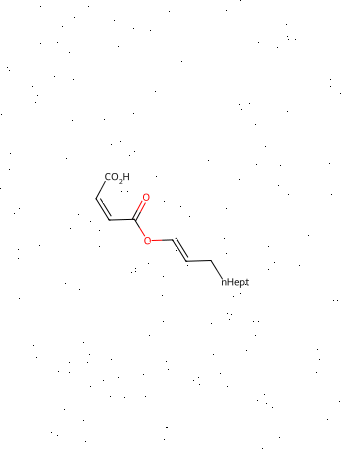 CCCCCCCCC=COC(=O)/C=C\C(=O)O